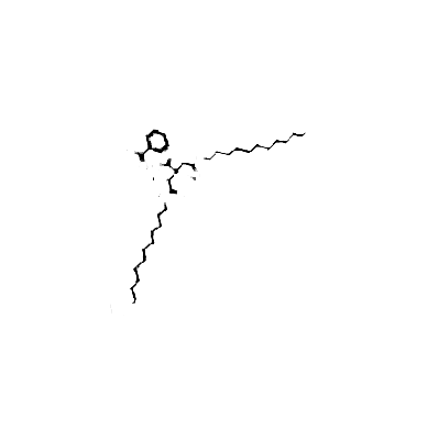 CCCCCCCCCCCCOC(=O)CC(O)(CC(=O)OCCCCCCCCCCCC)C(=O)O.O=C(O)c1ccccc1